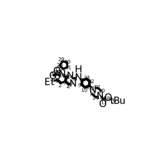 CCC1=Cc2cnc(Nc3ccc(N4CCN(C(=O)OC(C)(C)C)CC4)cc3)nc2N(C2CCCC2)S1(=O)=O